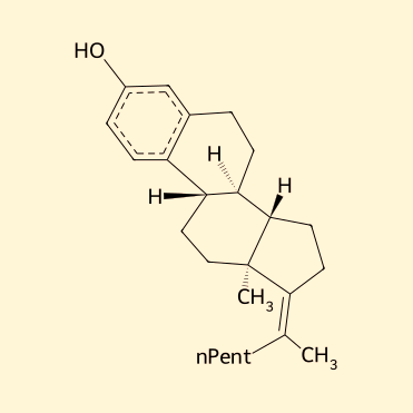 CCCCC/C(C)=C1/CC[C@H]2[C@@H]3CCc4cc(O)ccc4[C@H]3CC[C@]12C